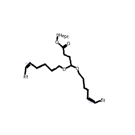 CC/C=C\CCCCOC(CCC(=O)O[CH]CCCCCC)OCCCC/C=C\CC